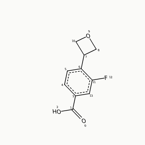 O=C(O)c1ccc(C2COC2)c(F)c1